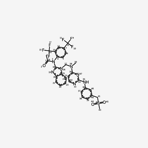 CC(=O)N(c1ccc(C(F)(F)F)cc1C(F)(F)F)c1nc2ccccc2n1CN(C)c1ccnc(Nc2cccc(CS(C)(=O)=O)c2)n1